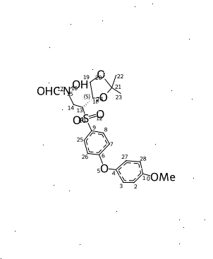 COc1ccc(Oc2ccc(S(=O)(=O)C(CN(O)C=O)[C@@H]3COC(C)(C)O3)cc2)cc1